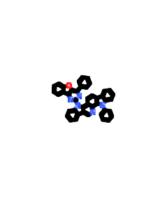 c1ccc(-c2nc(-n3c4ccccc4c4cnc5c(ccc6c7ccccc7n(-c7ccccc7)c65)c43)nc3c2oc2ccccc23)cc1